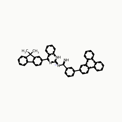 CC1(C)c2ccccc2-c2ccc(-c3n/c(=N/C(=N)c4cccc(-c5ccc6c7ccccc7c7ccccc7c6c5)c4)[nH]c4ccccc34)cc21